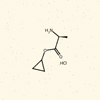 C[C@H](N)C(=O)OC1CC1.Cl